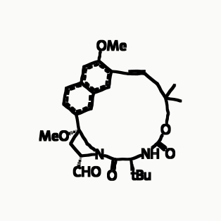 COc1cc2ccc3cc2cc1/C=C/CC(C)(C)COC(=O)N[C@@H](C(C)(C)C)C(=O)N1C[C@@]3(OC)C[C@H]1C=O